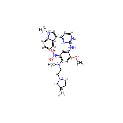 COc1cc(N(C)CCN2CCC(C)C2)c([N+](=O)[O-])cc1Nc1nccc(-c2cn(C)c3ccccc23)n1